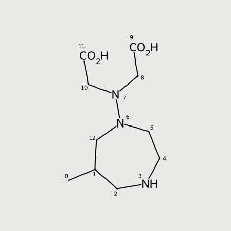 CC1CNCCN(N(CC(=O)O)CC(=O)O)C1